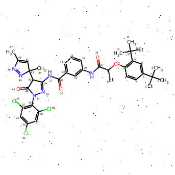 CCC(Oc1ccc(C(C)(C)CC)cc1C(C)(C)CC)C(=O)Nc1cccc(C(=O)NC2=NN(c3c(Cl)cc(Cl)cc3Cl)C(=O)C2C2(C)C=C(C)N=N2)c1